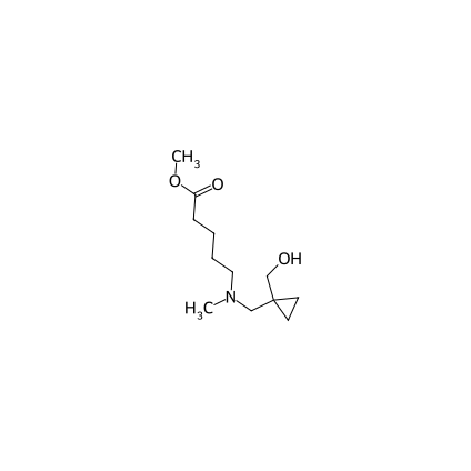 COC(=O)CCCCN(C)CC1(CO)CC1